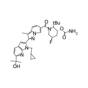 Cc1c(-c2cc3ccc(C(C)(C)O)nc3n2CC2CC2)nn2cc(C(=O)N3C[C@H](F)C[C@@H](OC(N)=O)C3C(C)(C)C)ccc12